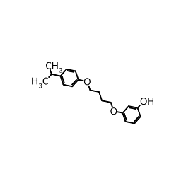 CC(C)c1ccc(OCCCCOc2cccc(O)c2)cc1